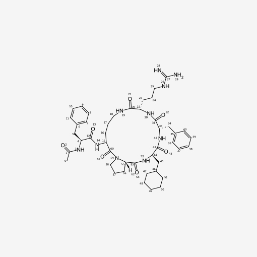 CC(=O)N[C@@H](Cc1ccccc1)C(=O)NC1CCCNC(=O)[C@H](CCCNC(=N)N)NC(=O)[C@H](Cc2ccccc2)NC(=O)[C@@H](CC2CCCCC2)NC(=O)[C@@H]2CCCN2C1=O